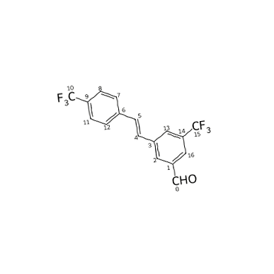 O=Cc1cc(/C=C/c2ccc(C(F)(F)F)cc2)cc(C(F)(F)F)c1